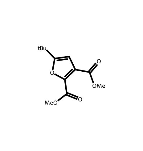 COC(=O)c1cc(C(C)(C)C)oc1C(=O)OC